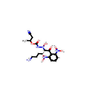 CC(CC#N)OC(=O)NN(O)[C@@H](CCCCN)C(=O)c1c([N+](=O)[O-])cccc1[N+](=O)[O-]